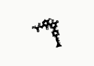 CC(C)C(=O)NCc1ccc(F)c(-c2nc(-c3ccc(C#CC4CC4)nc3)cc(=O)[nH]2)c1Cl